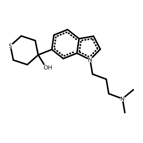 CN(C)CCCn1ccc2ccc(C3(O)CCSCC3)cc21